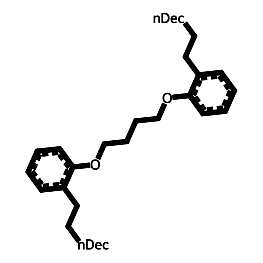 CCCCCCCCCCCCc1ccccc1OCCCCOc1ccccc1CCCCCCCCCCCC